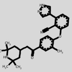 Cc1cc(C(=O)CC2CC(C)(C)NC(C)(C)C2)ccc1Oc1cccc(-c2cn[nH]c2)c1C#N